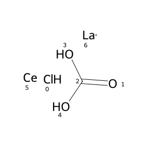 Cl.O=C(O)O.[Ce].[La]